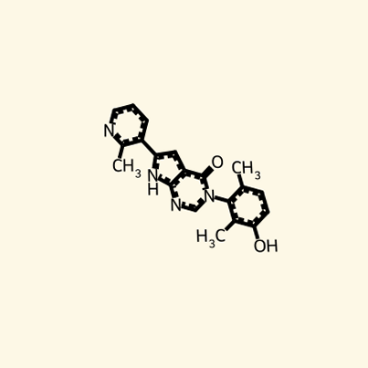 Cc1ccc(O)c(C)c1-n1cnc2[nH]c(-c3cccnc3C)cc2c1=O